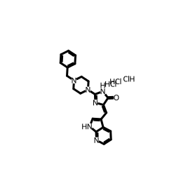 Cl.Cl.Cl.O=C1NC(N2CCN(Cc3ccccc3)CC2)=NC1=Cc1c[nH]c2ncccc12